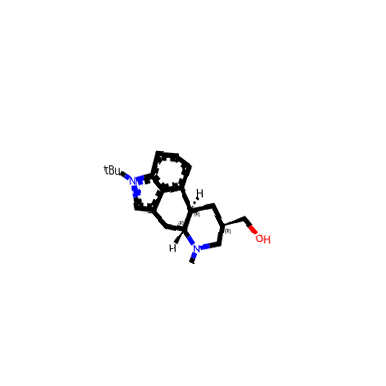 CN1C[C@H](CO)C[C@@H]2c3cccc4c3c(cn4C(C)(C)C)C[C@H]21